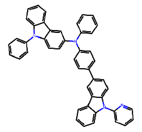 c1ccc(N(c2ccc(-c3ccc4c(c3)c3ccccc3n4-c3ccccn3)cc2)c2ccc3c(c2)c2ccccc2n3-c2ccccc2)cc1